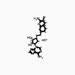 Cl.Nc1nc2cc(CC[C@H]3C[C@@H](n4cnc(N)c5ncnc4-5)[C@H](O)[C@@H]3O)ccc2cc1Br